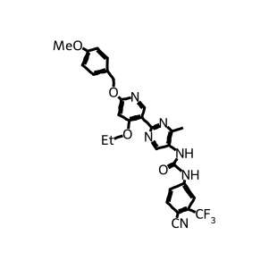 CCOc1cc(OCc2ccc(OC)cc2)ncc1-c1ncc(NC(=O)Nc2ccc(C#N)c(C(F)(F)F)c2)c(C)n1